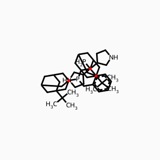 CC(C)(C)C12CC3CC(CC(P(Cc4ccccc4C(P)(C4CCNC4)C4CCNC4)C45CC6CC(C4)CC(C(C)(C)C)(C6)C5)(C3)C1)C2